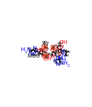 C=C1NC(=O)N([C@H]2C[C@H](OP(=O)(O)O[C@H]3[C@@H](OC)[C@H](n4cnc5c(N)ncnc54)O[C@@H]3COP(=O)(O)O[C@H]3[C@@H](OC)[C@H](n4cnc5c(N)ncnc54)O[C@@H]3COP(=O)(O)OC(C)C)[C@@H](CO)O2)C=C1C